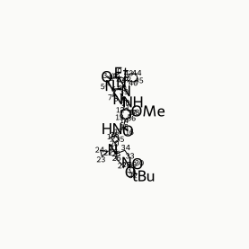 CC[C@@H]1C(=O)N(C)c2cnc(Nc3ccc(C(=O)NC4CC(N(C5CC5)C5CCN(C(=O)OC(C)(C)C)CC5)C4)cc3OC)nc2N1C1CCCC1